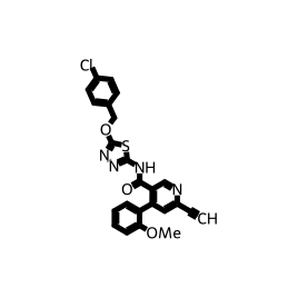 C#Cc1cc(-c2ccccc2OC)c(C(=O)Nc2nnc(OCc3ccc(Cl)cc3)s2)cn1